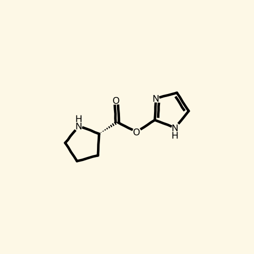 O=C(Oc1ncc[nH]1)[C@@H]1CCCN1